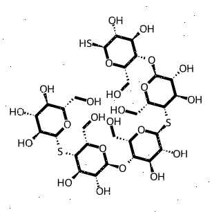 OC[C@@H]1O[C@H](S[C@H]2[C@H](O)[C@@H](O)[C@H](O[C@H]3[C@H](O)[C@@H](O)[C@H](S[C@H]4[C@H](O)[C@@H](O)[C@H](O[C@H]5[C@H](O)[C@@H](O)[C@H](S)O[C@H]5CO)O[C@H]4CO)O[C@H]3CO)O[C@H]2CO)[C@@H](O)[C@H](O)[C@H]1O